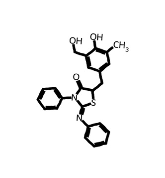 Cc1cc(CC2S/C(=N\c3ccccc3)N(c3ccccc3)C2=O)cc(CO)c1O